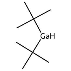 C[C](C)(C)[GaH][C](C)(C)C